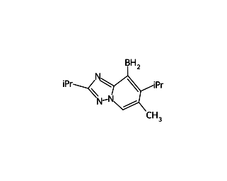 Bc1c(C(C)C)c(C)cn2nc(C(C)C)nc12